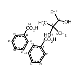 CCC(O)C(C)(C)O.O=C(O)c1ccccc1.O=C(O)c1ccccc1